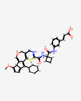 COC1=CC=C2C(C3CCCCC3)=C3C(=COCC4=C3SC(C(=O)NC3(C(=O)Nc5cccc(/C=C/C(=O)O)c5)CCC3)=NC4)C12